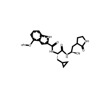 CCCOc1cccc2[nH]c(C(=O)N[C@@H](CC3CC3)C(=O)N[C@H](C#N)CC3CCNC3=O)cc12